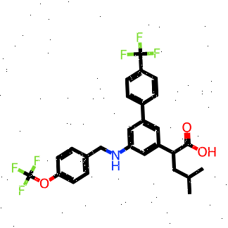 CC(C)CC(C(=O)O)c1cc(NCc2ccc(OC(F)(F)F)cc2)cc(-c2ccc(C(F)(F)F)cc2)c1